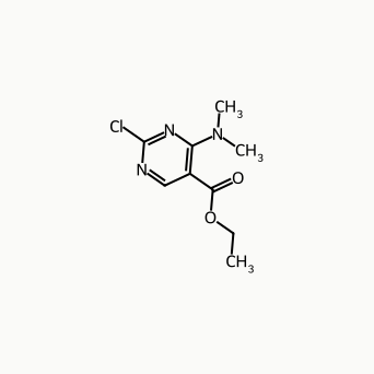 CCOC(=O)c1cnc(Cl)nc1N(C)C